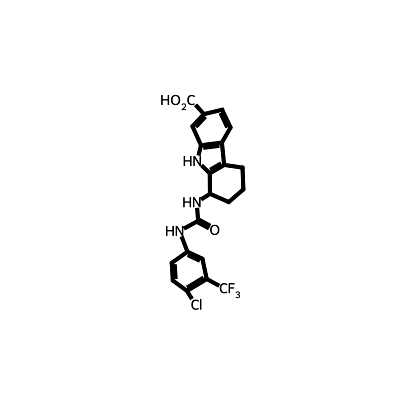 O=C(Nc1ccc(Cl)c(C(F)(F)F)c1)NC1CCCc2c1[nH]c1cc(C(=O)O)ccc21